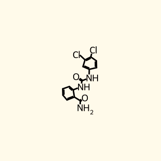 NC(=O)c1ccccc1NC(=O)Nc1ccc(Cl)c(Cl)c1